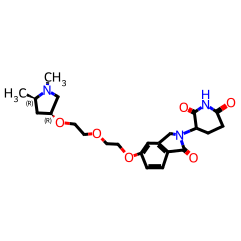 C[C@@H]1C[C@@H](OCCOCCOc2ccc3c(c2)CN(C2CCC(=O)NC2=O)C3=O)CN1C